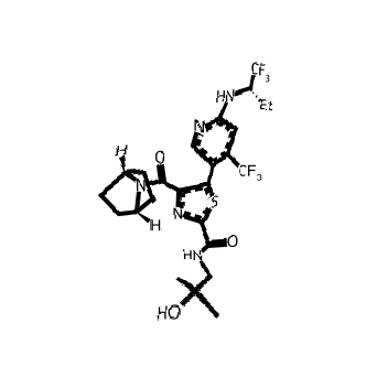 CC[C@H](Nc1cc(C(F)(F)F)c(-c2sc(C(=O)NCC(C)(C)O)nc2C(=O)N2[C@H]3CC[C@@H]2CC3)cn1)C(F)(F)F